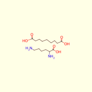 NCCCCC(N)C(=O)O.O=C(O)CCCCCCCC(=O)O